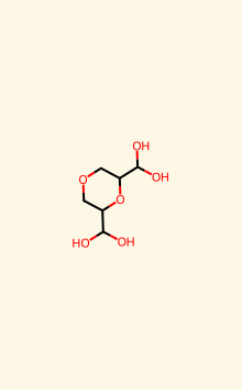 OC(O)C1COCC(C(O)O)O1